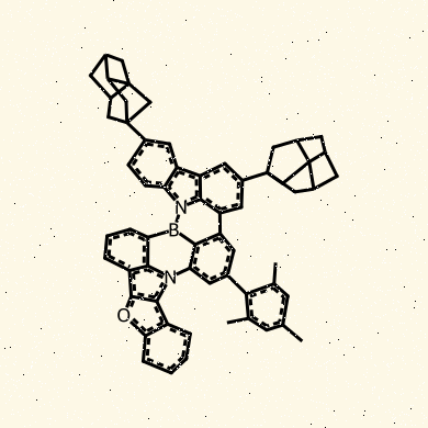 Cc1cc(C)c(-c2cc3c4c(c2)-n2c5c(cccc5c5oc6ccccc6c52)B4n2c4ccc(C56CC7CC8CC7(C5)C8C6)cc4c4cc(C56CC7CC8CC(C5)C87C6)cc-3c42)c(C)c1